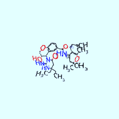 C#C/C=C\C1=C(C)OC(C)(C)C[C@@H]1NC(=O)c1ccc2c(c1)C(N1C(=N)NC(CC)(CC)CC1=O)C(O)CO2